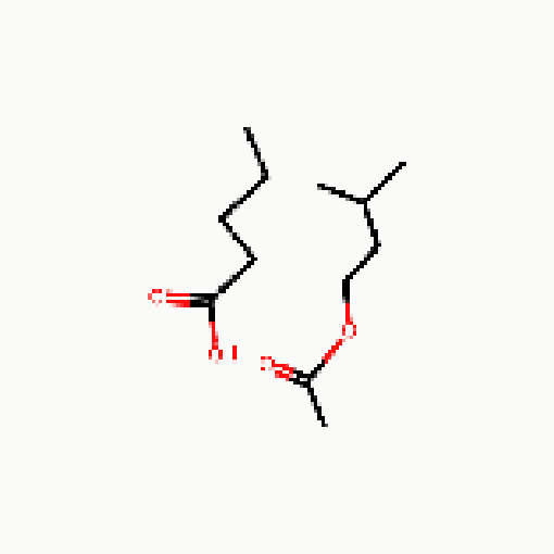 CC(=O)OCCC(C)C.CCCCC(=O)O